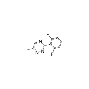 Cc1cnc(-c2c(F)cccc2F)nn1